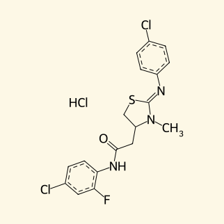 CN1C(=Nc2ccc(Cl)cc2)SCC1CC(=O)Nc1ccc(Cl)cc1F.Cl